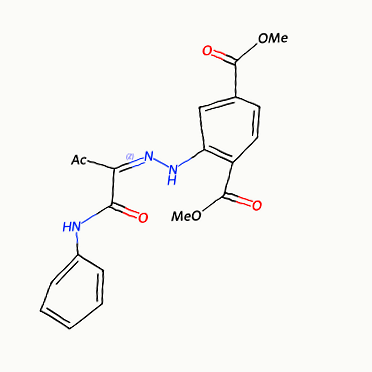 COC(=O)c1ccc(C(=O)OC)c(N/N=C(/C(C)=O)C(=O)Nc2ccccc2)c1